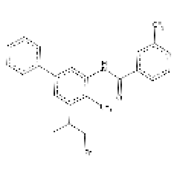 CC(C)CC(C)c1cc(-c2ccccc2)cc(NC(=O)c2cccc(C(F)(F)F)c2)c1C(F)(F)F